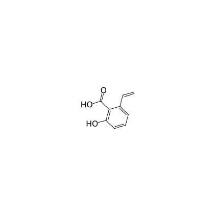 C=Cc1cccc(O)c1C(=O)O